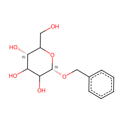 OCC1O[C@H](OCc2ccccc2)C(O)C(O)[C@@H]1O